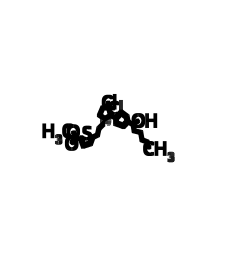 CCCCCC(O)c1ccc(C2[C@@H](CCCc3ccc(C(=O)OC)s3)CCC2(Cl)Cl)cc1